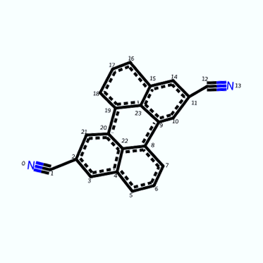 N#Cc1cc2cccc3c4cc(C#N)cc5cccc(c(c1)c23)c54